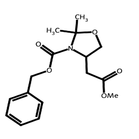 COC(=O)CC1COC(C)(C)N1C(=O)OCc1ccccc1